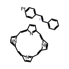 C(=C\c1ccccc1)/c1ccccc1.C1=Cc2cc3ccc(cc4nc(cc5ccc(cc1n2)[nH]5)C=C4)[nH]3.[Pt]